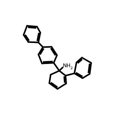 NC1(c2ccc(-c3ccccc3)cc2)CC=CC=C1c1ccccc1